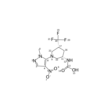 Cn1ncc([N+](=O)[O-])c1N1C[C@@H](NC(=O)O)C[C@@H](C(F)(F)F)C1